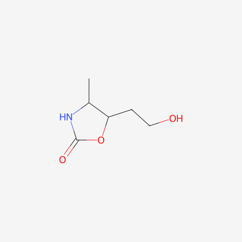 CC1NC(=O)OC1CCO